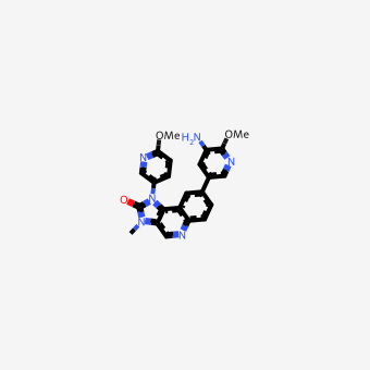 COc1ccc(-n2c(=O)n(C)c3cnc4ccc(-c5cnc(OC)c(N)c5)cc4c32)cn1